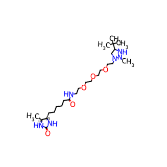 C[C@@H]1NC(=O)N[C@@H]1CCCCCC(=O)NCCOCCOCCOCCN1CC(C(C)(C)C)NN1C